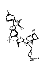 CNC(=O)c1c(-c2ccc(F)cc2)oc2cc(N(C)S(C)(=O)=O)c(C3=CC(C)C4N=C(CN5CC[C@@H](O)C5)n5c(cc6c(F)cccc65)C4=N3)cc12